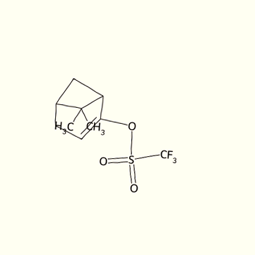 CC1(C)C2CC=C(OS(=O)(=O)C(F)(F)F)C1C2